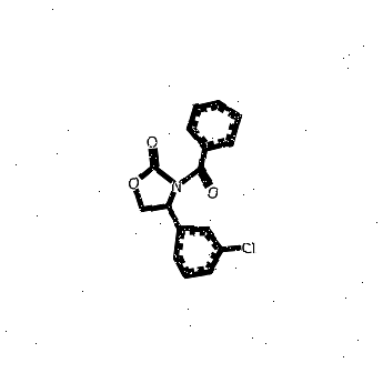 O=C1OCC(c2cccc(Cl)c2)N1C(=O)c1ccccc1